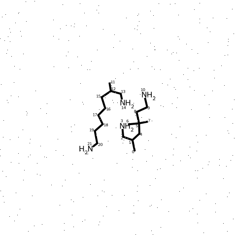 CC(CN)CC(C)(C)CCN.CC(CN)CCCCCCN